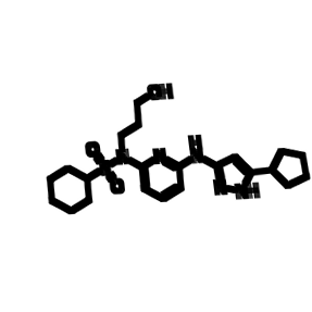 O=S(=O)(C1CCCCC1)N(CCCO)c1cccc(Nc2cc(C3CCCC3)[nH]n2)n1